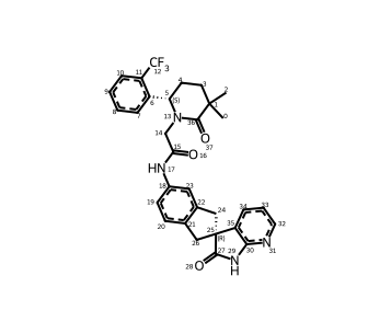 CC1(C)CC[C@@H](c2ccccc2C(F)(F)F)N(CC(=O)Nc2ccc3c(c2)C[C@@]2(C3)C(=O)Nc3ncccc32)C1=O